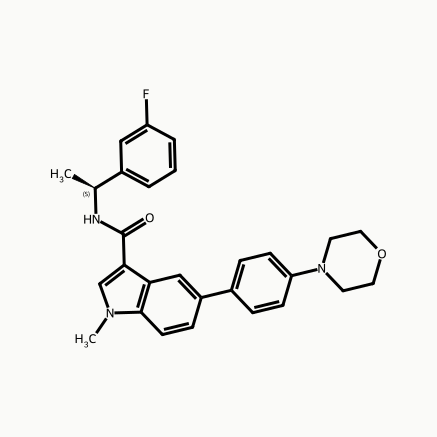 C[C@H](NC(=O)c1cn(C)c2ccc(-c3ccc(N4CCOCC4)cc3)cc12)c1cccc(F)c1